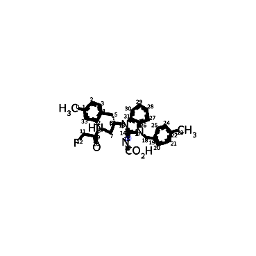 Cc1ccc(C[C@@H](CNC(=O)CF)n2/c(=N/C(=O)O)n(Cc3ccc(C)cc3)c3ccccc32)cc1